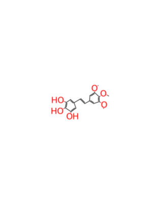 COc1cc(C=Cc2cc(O)c(O)c(O)c2)cc(OC)c1OC